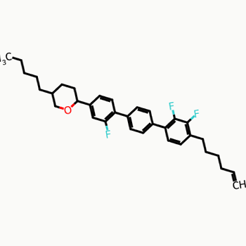 C=CCCCCc1ccc(-c2ccc(-c3ccc(C4CCC(CCCCC)CO4)cc3F)cc2)c(F)c1F